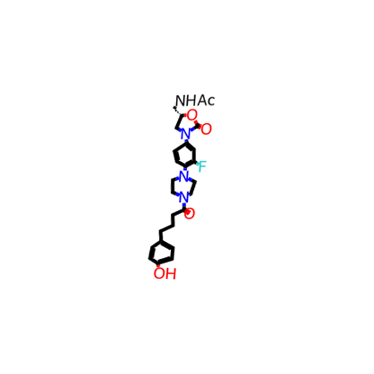 CC(=O)NC[C@H]1CN(c2ccc(N3CCN(C(=O)CCCc4ccc(O)cc4)CC3)c(F)c2)C(=O)O1